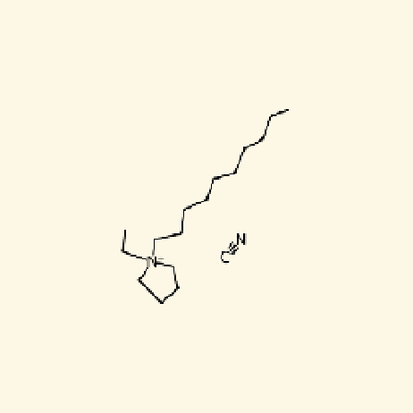 CCCCCCCCCC[N+]1(CC)CCCC1.[C-]#N